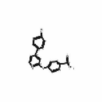 NC(=O)c1ccc(Nc2cc(-c3ccc(Cl)cc3)ccn2)cc1